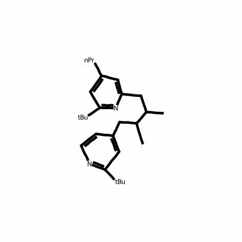 CCCc1cc(CC(C)C(C)Cc2ccnc(C(C)(C)C)c2)nc(C(C)(C)C)c1